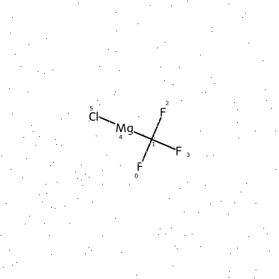 F[C](F)(F)[Mg][Cl]